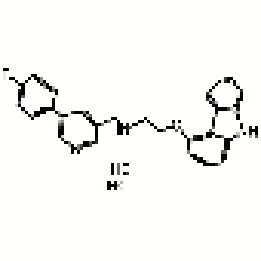 Cl.Cl.Fc1ccc(-c2cncc(CNCCOc3cccc4[nH]c5ccccc5c34)c2)cc1